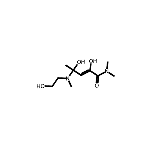 CN(C)C(=O)/C(O)=C/C(C)(O)N(C)CCO